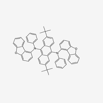 CC(C)(C)c1ccc2c(N(c3ccccc3)c3cccc4oc5ccccc5c34)c3cc(C(C)(C)C)ccc3c(N(c3ccccc3)c3cccc4oc5ccccc5c34)c2c1